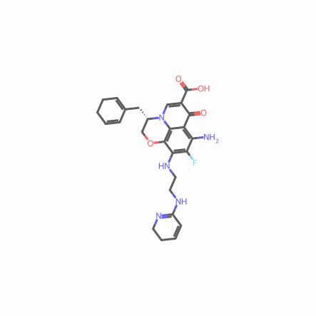 Nc1c(F)c(NCCNC2=NCCC=C2)c2c3c1c(=O)c(C(=O)O)cn3[C@@H](CC1=CCCC=C1)CO2